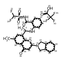 Cc1cc(C(C)Nc2ccccc2C(=O)NS(=O)(=O)C(F)F)c2oc(N3Cc4ccccc4C3)cc(=O)c2c1.O=C(O)C(F)(F)F